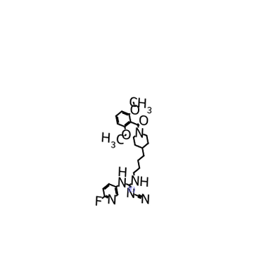 COc1cccc(OC)c1C(=O)N1CCC(CCCCN/C(=N\C#N)Nc2ccc(F)nc2)CC1